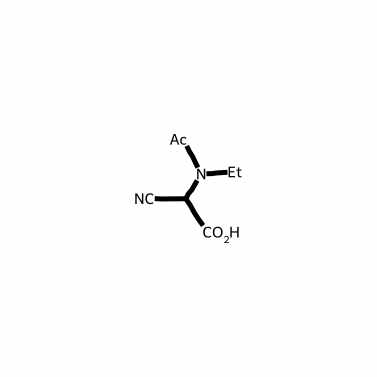 CCN(C(C)=O)C(C#N)C(=O)O